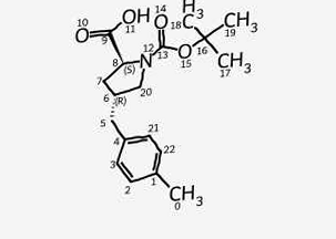 Cc1ccc(C[C@@H]2C[C@@H](C(=O)O)N(C(=O)OC(C)(C)C)C2)cc1